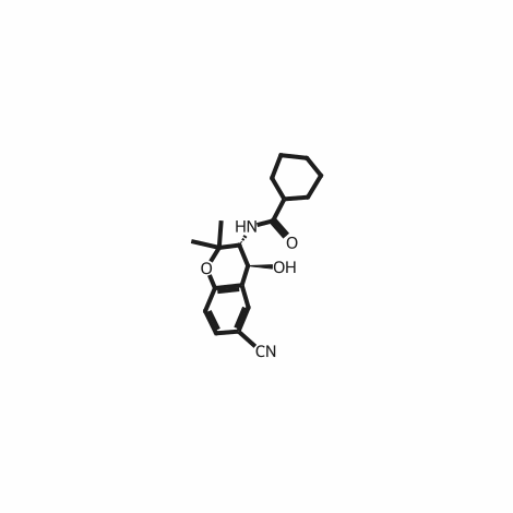 CC1(C)Oc2ccc(C#N)cc2[C@H](O)[C@H]1NC(=O)C1CCCCC1